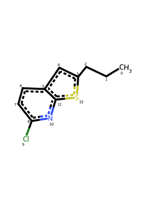 CCCc1cc2ccc(Cl)nc2s1